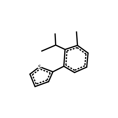 Cc1cccc(-c2cccs2)c1C(C)C